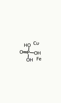 O=P(O)(O)O.[Cu].[Fe]